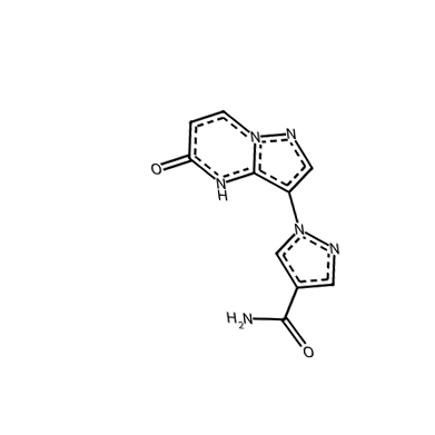 NC(=O)c1cnn(-c2cnn3ccc(=O)[nH]c23)c1